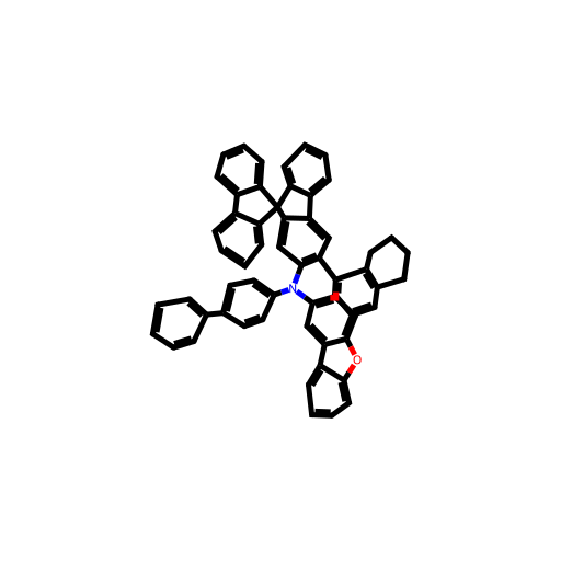 c1ccc(-c2ccc(N(c3ccc4oc5ccccc5c4c3)c3cc4c(cc3-c3cccc5c3CCCC5)-c3ccccc3C43c4ccccc4-c4ccccc43)cc2)cc1